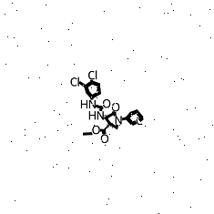 CCOC(=O)[C@@H]1CN(c2ccccc2)C(=O)[C@@H]1NC(=O)Nc1ccc(Cl)c(Cl)c1